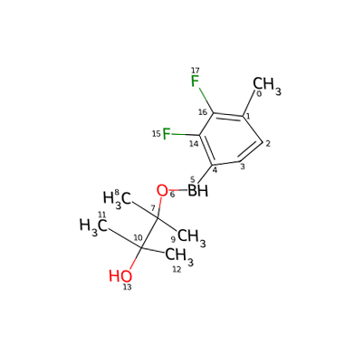 Cc1ccc(BOC(C)(C)C(C)(C)O)c(F)c1F